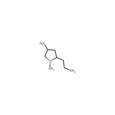 CCCC1CC(C)CN1C